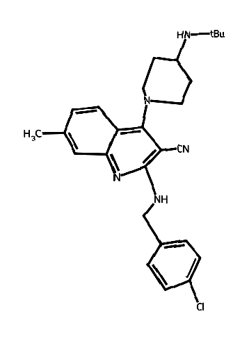 Cc1ccc2c(N3CCC(NC(C)(C)C)CC3)c(C#N)c(NCc3ccc(Cl)cc3)nc2c1